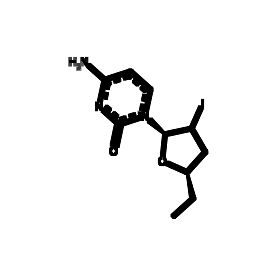 CC[C@@H]1CC(I)[C@H](n2ccc(N)nc2=O)O1